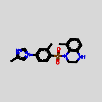 Cc1cn(-c2ccc(S(=O)(=O)N3CCNc4cccc(C)c43)c(C)c2)cn1